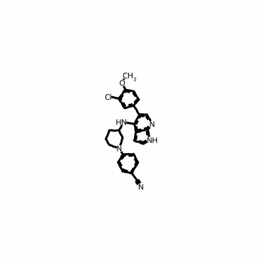 COc1ccc(-c2cnc3[nH]ccc3c2NC2CCCN(c3ccc(C#N)cc3)C2)cc1Cl